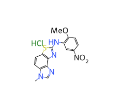 COc1ccc([N+](=O)[O-])cc1Nc1nc2c(ccc3c2ncn3C)s1.Cl